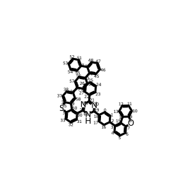 C1=CC(c2cccc3oc4ccccc4c23)CC=C1C1N=C(c2ccccc2)N=C(c2cccc3sc4ccc(-c5ccc(-c6ccccc6-c6ccccc6)cc5)cc4c23)N1